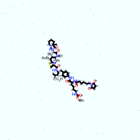 CC[C@H](C)[C@H](NC(=O)C1(C)CCCCN1C)C(=O)N(CC)[C@H](C[C@@H](OC(C)=O)c1nc(C(=O)N[C@@H](Cc2ccc(NC(=O)C(CCCCNC(=O)OC(C)(C)C)NC(=O)CCCCCN3C(=O)C=CC3=O)cc2)C[C@H](C)C(=O)O)cs1)C(C)C